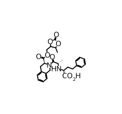 CC1OC(=O)OC1COC(=O)[C@@H]1Cc2ccccc2CN1C(=O)[C@H](C)N[C@@H](CCc1ccccc1)C(=O)O